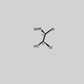 CC[C@@H](O)[C@@H](NC)C(C)C